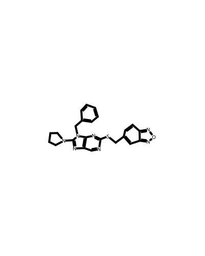 c1ccc(Cn2c(N3CCCC3)nc3cnc(SCc4ccc5nonc5c4)nc32)cc1